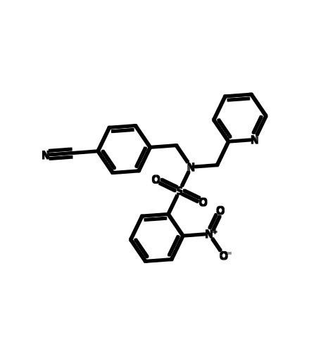 N#Cc1ccc(CN(Cc2ccccn2)S(=O)(=O)c2ccccc2[N+](=O)[O-])cc1